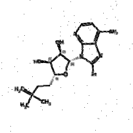 C=P(C)(C)CC[C@H]1O[C@@H](n2c(CC)nc3c(N)ccnc32)[C@H](O)[C@@H]1O